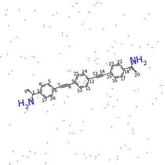 C[C@H](N)c1ccc(C#Cc2ccc(C#Cc3ccc([C@H](C)N)cc3)cc2)cc1